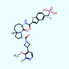 COc1c(C2CN(C(=O)[C@@H]3CC[C@@H]4CCC[C@H](NC(=O)c5cc6cc([C@@H](F)P(=O)(O)O)ccc6s5)C(=O)N43)C2)ccnc1Cl